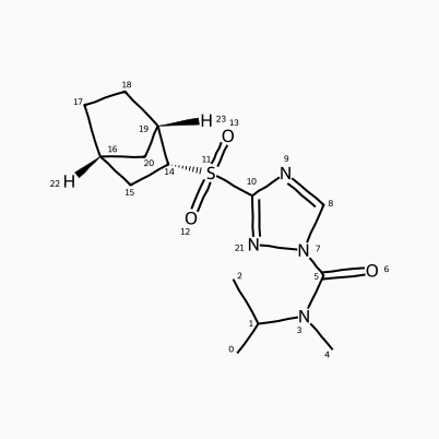 CC(C)N(C)C(=O)n1cnc(S(=O)(=O)[C@@H]2C[C@@H]3CC[C@H]2C3)n1